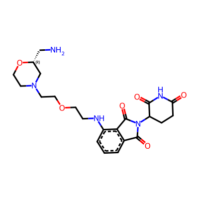 NC[C@@H]1CN(CCOCCNc2cccc3c2C(=O)N(C2CCC(=O)NC2=O)C3=O)CCO1